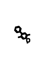 COc1cc(C)c(-c2ccccc2)cc1C